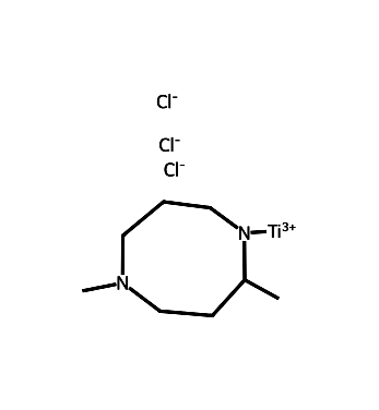 CC1CCN(C)CCC[N]1[Ti+3].[Cl-].[Cl-].[Cl-]